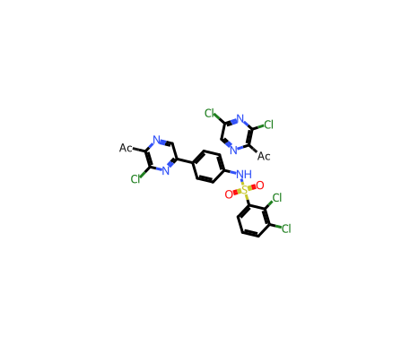 CC(=O)c1ncc(-c2ccc(NS(=O)(=O)c3cccc(Cl)c3Cl)cc2)nc1Cl.CC(=O)c1ncc(Cl)nc1Cl